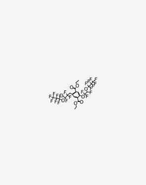 CCOC(=O)c1cc(OC(F)(F)C(F)OC(F)(F)C(F)(F)C(F)(F)F)c(C(=O)OCC)cc1CC(F)(F)C(F)(Cl)OC(F)(F)C(F)(F)C(F)(F)F